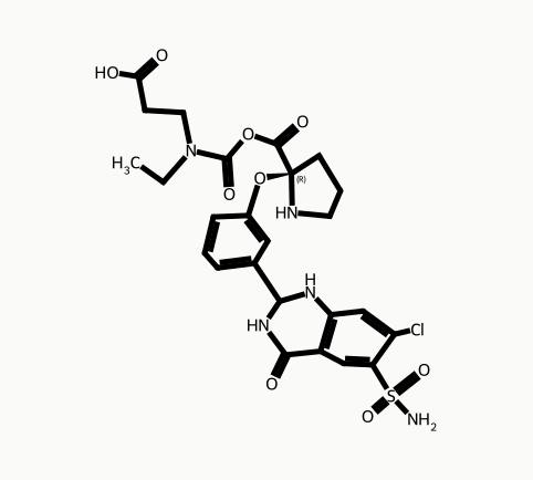 CCN(CCC(=O)O)C(=O)OC(=O)[C@]1(Oc2cccc(C3NC(=O)c4cc(S(N)(=O)=O)c(Cl)cc4N3)c2)CCCN1